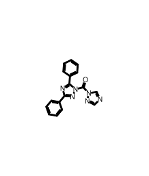 O=C(n1cncn1)n1nc(-c2ccccc2)nc1-c1ccccc1